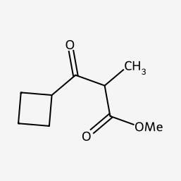 COC(=O)C(C)C(=O)C1CCC1